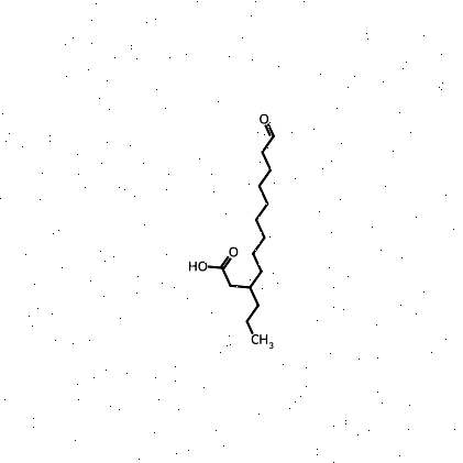 CCCC(CCCCCCCCC=O)CC(=O)O